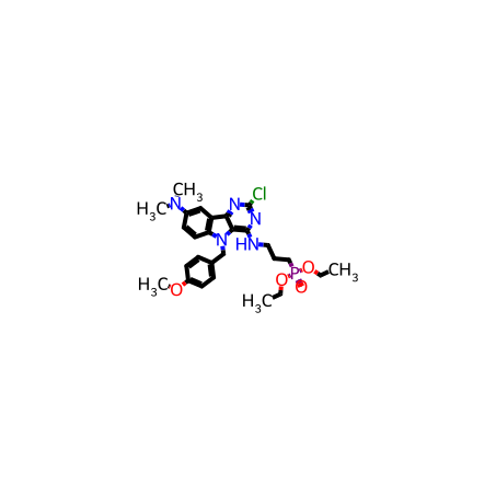 CCOP(=O)(CCCNc1nc(Cl)nc2c3cc(N(C)C)ccc3n(Cc3ccc(OC)cc3)c12)OCC